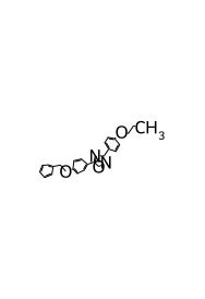 CCCOc1ccc(-c2noc(-c3ccc(OCc4ccccc4)cc3)n2)cc1